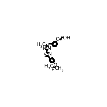 Cc1nc(-c2nc(-c3ccc(OC(C)(C)F)cc3)cs2)nn1Cc1cccc(OCCO)c1